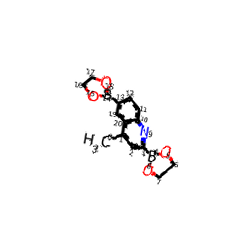 Cc1cc(B2OCCO2)nc2ccc(B3OCCO3)cc12